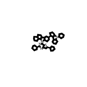 c1ccc(-c2nc(-n3c4ccc(-c5cccc6c5c5ccccc5n6-c5ccccc5)cc4c4ccc5ccccc5c43)c3sc(-c4ccccc4)cc3n2)cc1